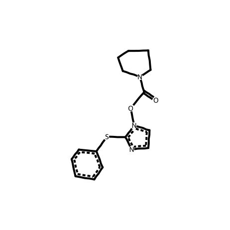 O=C(On1ccnc1Sc1ccccc1)N1CCCCC1